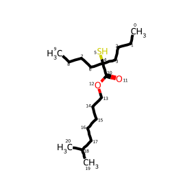 CCCCC(S)(CCCC)C(=O)OCCCCCC(C)C